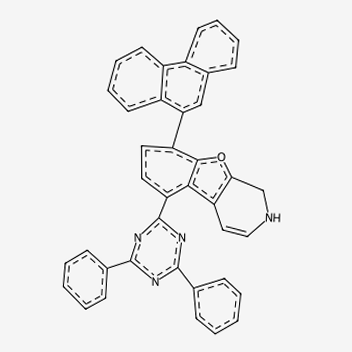 C1=Cc2c(oc3c(-c4cc5ccccc5c5ccccc45)ccc(-c4nc(-c5ccccc5)nc(-c5ccccc5)n4)c23)CN1